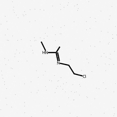 CN/C(C)=N/CCCl